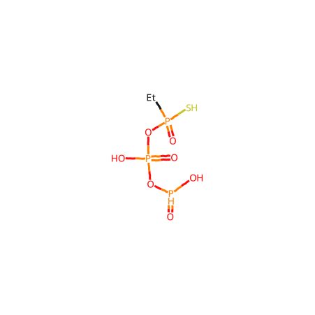 CCP(=O)(S)OP(=O)(O)O[PH](=O)O